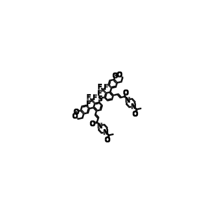 CC(=O)N1CCN(C(=O)/C=C/c2ccc(Sc3ccc(/C=C/C(=O)N4CCN(C(C)=O)CC4)c(-c4ccc5c(c4)CCOO5)c3C(F)(F)F)c(C(F)(F)F)c2-c2ccc3c(c2)CCOO3)CC1